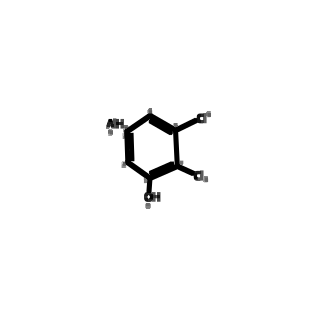 Oc1cccc(Cl)c1Cl.[AlH3]